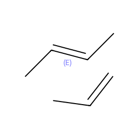 C/C=C/C.C=CC